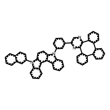 c1cc(-c2cnc3c(n2)-c2ccccc2-c2ccccc2-c2ccccc2-3)cc(-n2c3ccccc3c3c4c5ccccc5n(-c5ccc6ccccc6c5)c4ccc32)c1